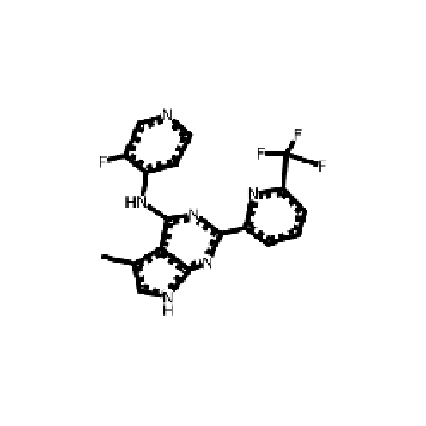 Cc1c[nH]c2nc(-c3cccc(C(F)(F)F)n3)nc(Nc3ccncc3F)c12